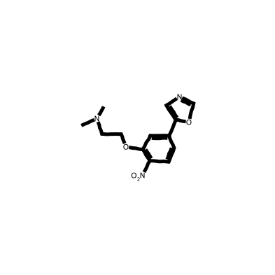 CN(C)CCOc1cc(-c2cnco2)ccc1[N+](=O)[O-]